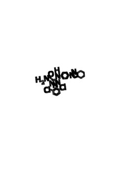 NC(=O)c1nn(-c2c(Cl)cccc2Cl)nc1Nc1ccc(-n2cc3c(n2)CCCC3)cc1